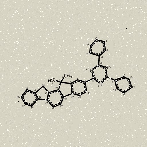 CC1(C)c2cc(-c3nc(-c4ccccc4)nc(-c4ccccc4)n3)ccc2-c2ccc3c(c21)Cc1ccccc1-3